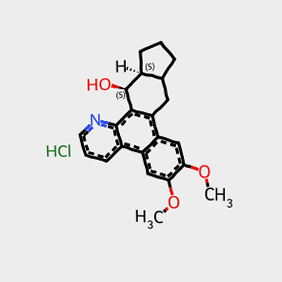 COc1cc2c3c(c4ncccc4c2cc1OC)[C@@H](O)[C@H]1CCCC1C3.Cl